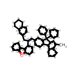 Cc1cc2c(c3ccccc13)-c1ccc(/C=C(/Cc3ccc4c(c3)CCCC4)c3cccc4oc5ccccc5c34)cc1C2(c1ccccc1)c1ccccc1